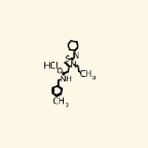 CCCN1C(=NC2CCCCC2)SCC1CC(=O)NCc1ccc(C)cc1.Cl